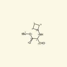 CC(C)(C)OC(=O)C([C]=O)NN1CCC1